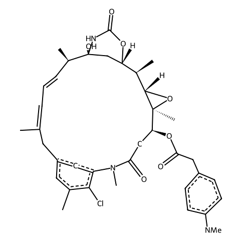 CNc1ccc(CC(=O)O[C@H]2CC(=O)N(C)c3cc(cc(C)c3Cl)C/C(C)=C/C=C/[C@@H](C)[C@@]3(O)C[C@H](OC(=O)N3)[C@@H](C)[C@@H]3O[C@@]23C)cc1